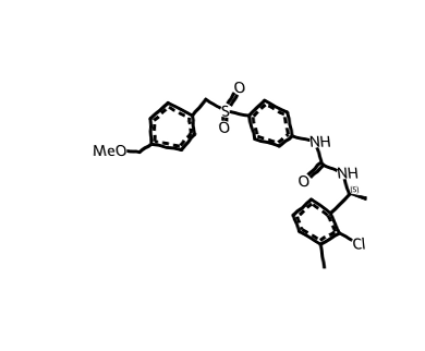 COCc1ccc(CS(=O)(=O)c2ccc(NC(=O)N[C@@H](C)c3cccc(C)c3Cl)cc2)cc1